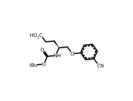 CC(C)(C)OC(=O)N[C@@H](CCC(=O)O)COc1cccc(C#N)c1